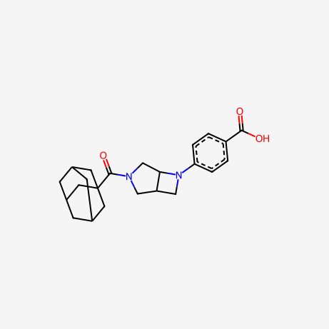 O=C(O)c1ccc(N2CC3CN(C(=O)C45CC6CC(CC(C6)C4)C5)CC32)cc1